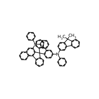 CC1(C)c2ccccc2-c2cc(N(c3ccccc3)c3ccc4c(c3)-c3ccccc3C43c4ccccc4-c4c3c(N(c3ccccc3)c3ccccc3)cc3ccccc43)ccc21